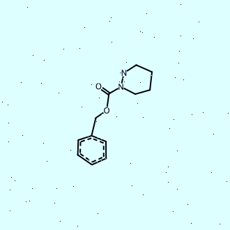 O=C(OCc1ccccc1)N1CCCC[N]1